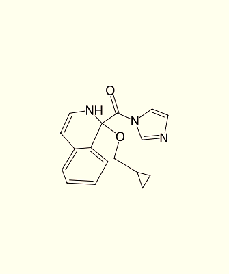 O=C(n1ccnc1)C1(OCC2CC2)NC=Cc2ccccc21